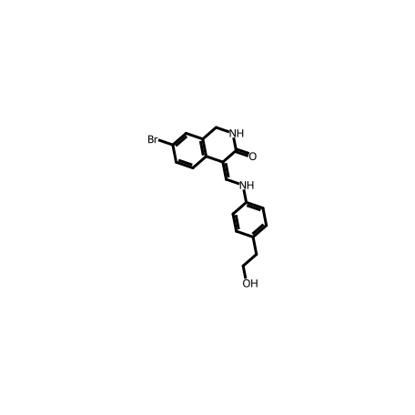 O=C1NCc2cc(Br)ccc2C1=CNc1ccc(CCO)cc1